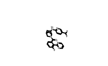 O=C(c1cccc(F)c1-c1ncccn1)N1CC2CC(Nc3ccc(C(F)F)cn3)C1C2